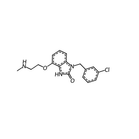 CNCCOc1cccc2c1[nH]c(=O)n2Cc1cccc(Cl)c1